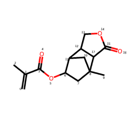 C=C(C)C(=O)OC1CC2(C)CC1C1COC(=O)C12